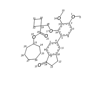 COc1ccc(-c2ccc3c(c2)CCC3=O)c(OCC2(C(=O)OC3CCCCCC3)CCC2)c1OC